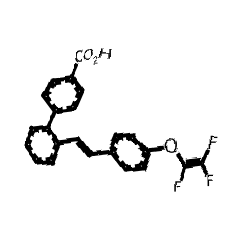 O=C(O)c1ccc(-c2ccccc2C=Cc2ccc(OC(F)=C(F)F)cc2)cc1